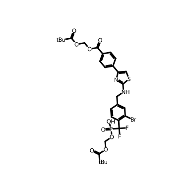 CC(C)(C)C(=O)OCOC(=O)c1ccc(-c2csc(NCc3ccc(C(F)(F)P(=O)(O)OCOC(=O)C(C)(C)C)c(Br)c3)n2)cc1